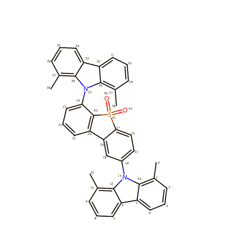 Cc1cccc2c3cccc(C)c3n(-c3ccc4c(c3)-c3cccc(-n5c6c(C)cccc6c6cccc(C)c65)c3S4(=O)=O)c12